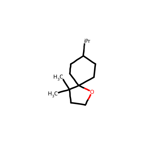 CC(C)C1CCC2(CC1)OCCC2(C)C